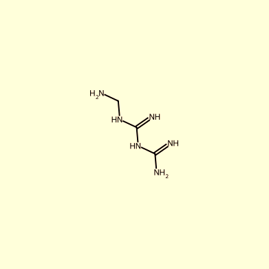 N=C(N)NC(=N)NCN